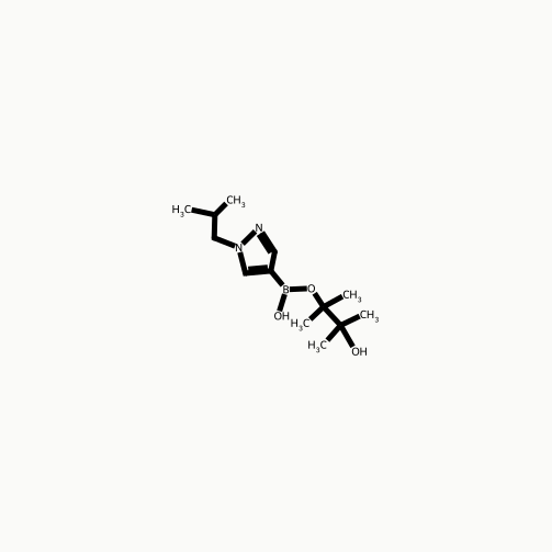 CC(C)Cn1cc(B(O)OC(C)(C)C(C)(C)O)cn1